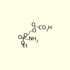 CCOP(=O)(CN)OCCOC(=O)C(=O)O